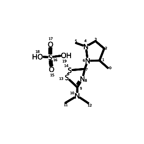 CC1CCN(C)N1C1N=C(N(C)C)SS1.O=S(=O)(O)O